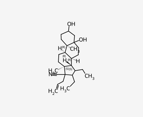 C=CCC1(C#N)C(CC)C(CC)[C@H]2[C@@H]3CCC4(O)CC(O)CC[C@]4(C)[C@@H]3CC[C@@]21C